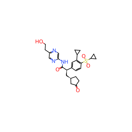 O=C1CC[C@H](C[C@@H](C(=O)Nc2cnc(CCO)cn2)c2ccc(S(=O)(=O)C3CC3)c(C3CC3)c2)C1